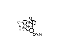 CC1(C)Cc2cc(C(=O)O)ccc2NC1c1cccc(Cl)c1.O=C1Nc2cccc1c2